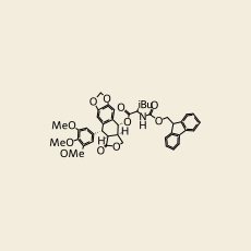 CC[C@H](C)[C@@H](NC(=O)OCC1c2ccccc2-c2ccccc21)C(=O)O[C@H]1c2cc3c(cc2[C@@H](c2cc(OC)c(OC)c(OC)c2)[C@@H]2C(=O)OC[C@@H]21)OCO3